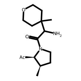 CC(=O)[C@@H]1[C@H](C)CCN1C(=O)C(N)C1(C)CCOCC1